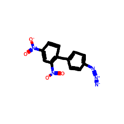 [N-]=[N+]=Nc1ccc(-c2ccc([N+](=O)[O-])cc2[N+](=O)[O-])cc1